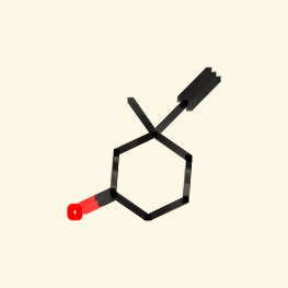 C#CC1(C)CCCC(=O)C1